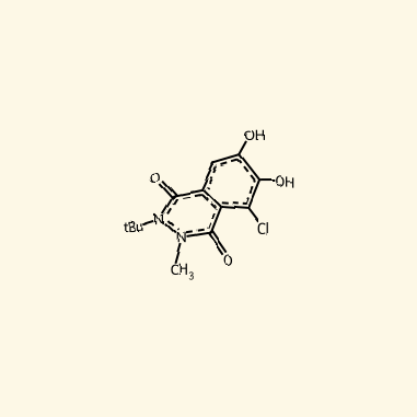 Cn1c(=O)c2c(Cl)c(O)c(O)cc2c(=O)n1C(C)(C)C